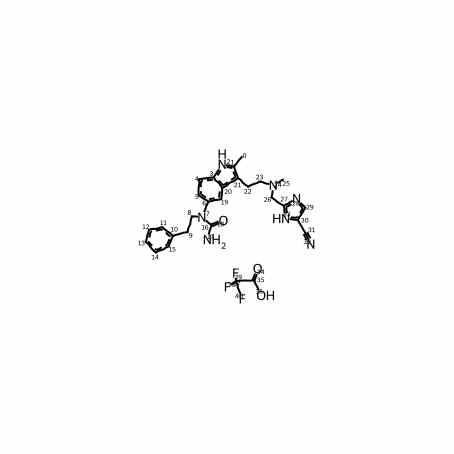 Cc1[nH]c2ccc(N(CCc3ccccc3)C(N)=O)cc2c1CCN(C)Cc1ncc(C#N)[nH]1.O=C(O)C(F)(F)F